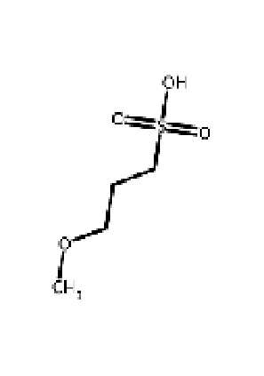 COC[CH]CS(=O)(=O)O